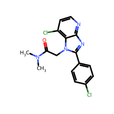 CN(C)C(=O)Cn1c(-c2ccc(Cl)cc2)nc2nccc(Cl)c21